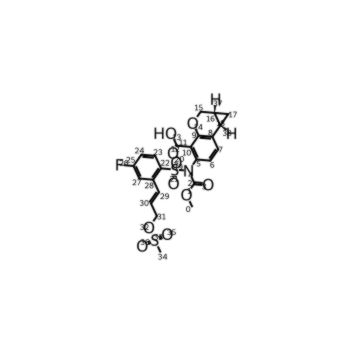 COC(=O)N(c1ccc2c(c1C(=O)O)OC[C@@H]1C[C@H]21)S(=O)(=O)c1ccc(F)cc1C=CCOS(C)(=O)=O